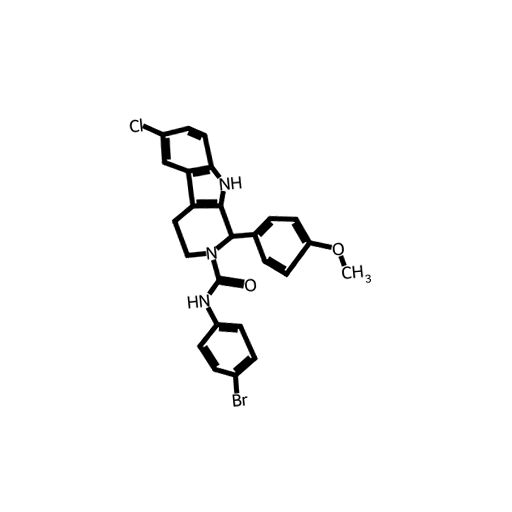 COc1ccc(C2c3[nH]c4ccc(Cl)cc4c3CCN2C(=O)Nc2ccc(Br)cc2)cc1